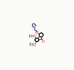 CCOc1cc(OCC)c2c(c1)C(=O)c1cccc(OCCN3CCCC3)c1-2